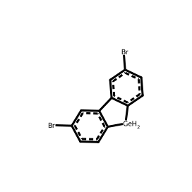 Brc1cc[c]2c(c1)-c1cc(Br)cc[c]1[GeH2]2